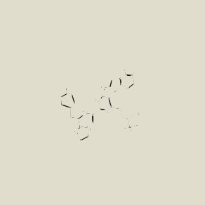 C[C@@]1(c2ccc(Cl)c(O)c2)C(=O)Nc2nc(-c3cn4ccnc4c(Cc4ccc(F)cc4)n3)nc(NCC(O)C(F)(F)F)c21